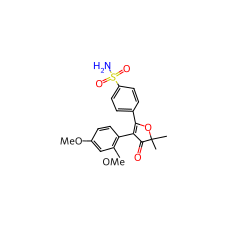 COc1ccc(C2=C(c3ccc(S(N)(=O)=O)cc3)OC(C)(C)C2=O)c(OC)c1